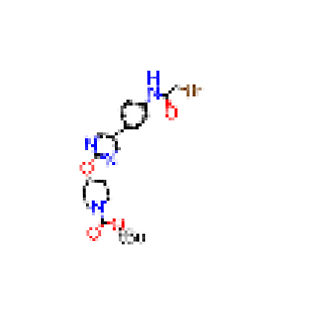 CC(C)(C)OC(=O)N1CCC(Oc2ncc(-c3ccc(NC(=O)CBr)cc3)cn2)CC1